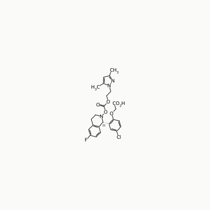 Cc1cc(C)n(CCOC(=O)ON2CCc3cc(F)ccc3[C@H]2c2cc(Cl)ccc2OCC(=O)O)n1